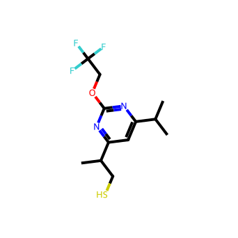 CC(C)c1cc(C(C)CS)nc(OCC(F)(F)F)n1